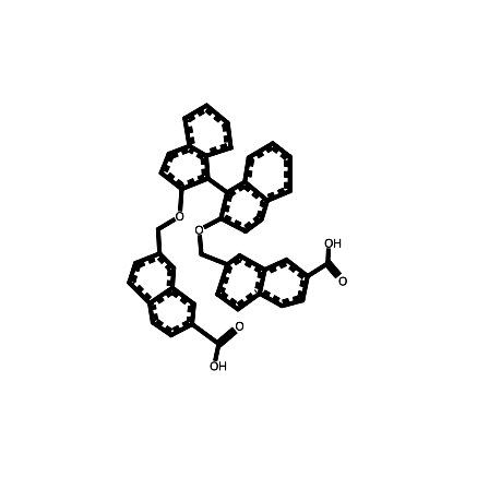 O=C(O)c1ccc2ccc(COc3ccc4ccccc4c3-c3c(OCc4ccc5ccc(C(=O)O)cc5c4)ccc4ccccc34)cc2c1